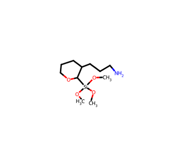 CO[Si](OC)(OC)C1OCCCC1CCCN